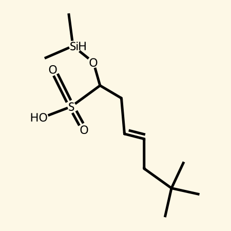 C[SiH](C)OC(CC=CCC(C)(C)C)S(=O)(=O)O